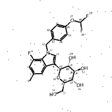 Cc1cc(F)c2c(c1)c([C@@H]1O[C@H](CO)[C@@H](O)[C@H](O)[C@H]1O)cn2Cc1ccc(OC(F)F)cc1